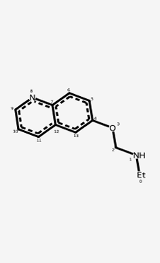 CCNCOc1ccc2ncccc2c1